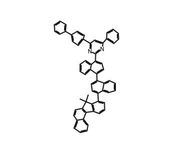 CC1(C)c2ccc3ccccc3c2-c2cccc(-c3ccc(-c4ccc(-c5nc(-c6ccccc6)cc(-c6ccc(-c7ccccc7)cc6)n5)c5ccccc45)c4ccccc34)c21